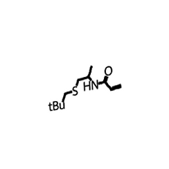 C=CC(=O)NC(C)CSCC(C)(C)C